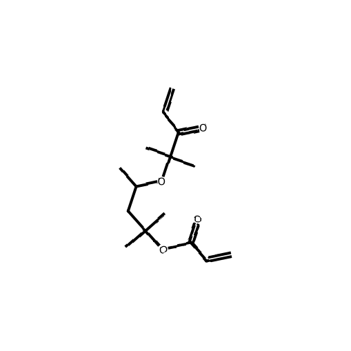 C=CC(=O)OC(C)(C)CC(C)OC(C)(C)C(=O)C=C